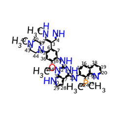 CN/C=C(\C=N)c1cc(Nc2nc(Nc3ccc4cccnc4c3P(C)C)c3cc[nH]c3n2)c(OC)cc1N1CCN(C)CC1